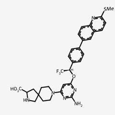 CSc1ccc2cc(-c3ccc([C@@H](Oc4cc(N5CCC6(CC5)CNC(C(=O)O)C6)nc(N)n4)C(F)(F)F)cc3)ccc2n1